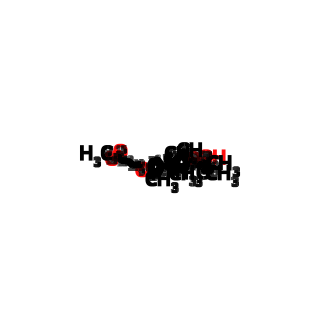 CCC(CC)(c1ccc(OCCCCC(=O)OC)c(C)c1)c1ccc(OCC(O)C(C)(C)C)c(C)c1